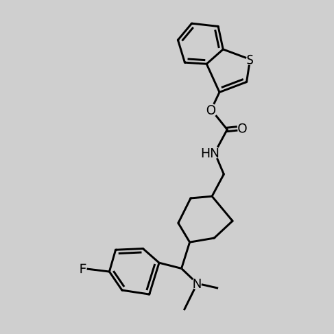 CN(C)C(c1ccc(F)cc1)C1CCC(CNC(=O)Oc2csc3ccccc23)CC1